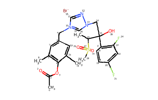 CC(=O)Oc1c(C)cc(C[n+]2cnn(CC(O)(c3ccc(F)cc3F)C(C)S(C)(=O)=O)c2)cc1C.[Br-]